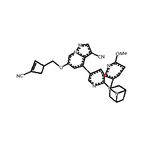 COc1ccc(CN2C3CC2CN(c2ccc(-c4cc(OCC5C=C(C#N)C5)cn5ncc(C#N)c45)cn2)C3)cn1